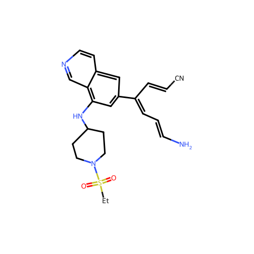 CCS(=O)(=O)N1CCC(Nc2cc(C(/C=C/C#N)=C/C=C/N)cc3ccncc23)CC1